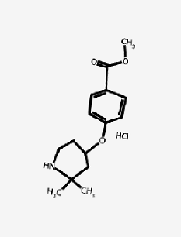 COC(=O)c1ccc(OC2CCNC(C)(C)C2)cc1.Cl